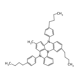 CCCCc1ccc(N2c3ccccc3B3c4cc(CCCC)ccc4N(c4ccc(CCCC)cc4)c4cc(C)cc2c43)cc1